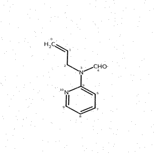 C=CCN([C]=O)c1ccccn1